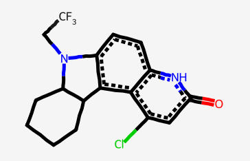 O=c1cc(Cl)c2c3c(ccc2[nH]1)N(CC(F)(F)F)C1CCCCC31